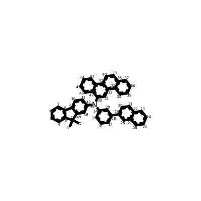 CC1(C)c2ccccc2-c2ccc(N(c3cccc(-c4ccc5ccccc5c4)c3)c3cc4c5ccccc5ccc4c4ccccc34)cc21